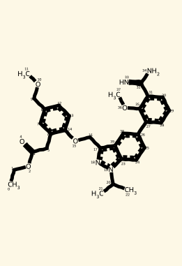 CCOC(=O)Cc1cc(COC)ccc1OCc1nn(C(C)C)c2ccc(-c3cccc(C(=N)N)c3OC)cc12